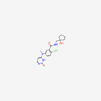 CN(c1ccc(Cl)c(C(=O)NCC2(O)CCCC2)c1)c1ccnc(=O)[nH]1